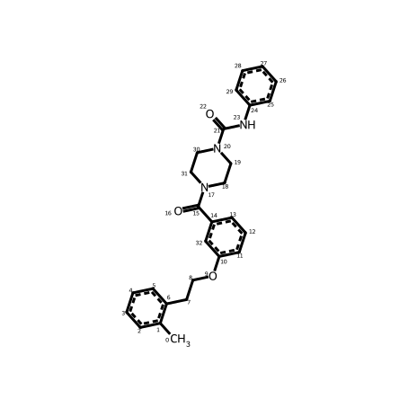 Cc1ccccc1CCOc1cccc(C(=O)N2CCN(C(=O)Nc3ccccc3)CC2)c1